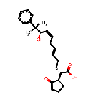 CC(C)(c1ccccc1)[C@H](O)/C=C\C/C=C/CC[C@H](C(=O)O)[C@H]1CCCC1=O